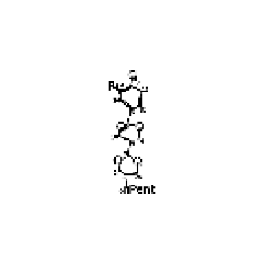 CCCCC[C@H]1CO[C@H]([C@H]2CO[C@H](c3ccc(Cl)c(F)c3)OC2)OC1